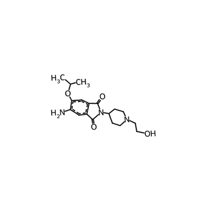 CC(C)Oc1cc2c(cc1N)C(=O)N(C1CCN(CCO)CC1)C2=O